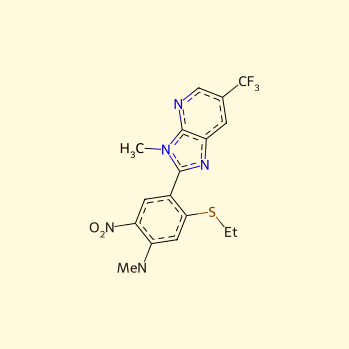 CCSc1cc(NC)c([N+](=O)[O-])cc1-c1nc2cc(C(F)(F)F)cnc2n1C